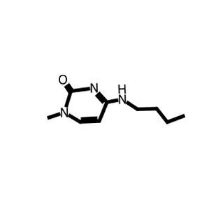 CCCCNc1ccn(C)c(=O)n1